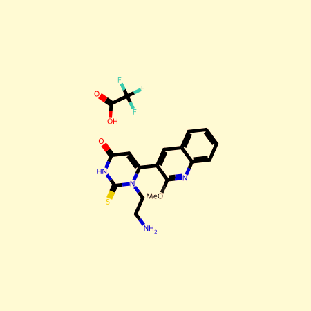 COc1nc2ccccc2cc1-c1cc(=O)[nH]c(=S)n1CCN.O=C(O)C(F)(F)F